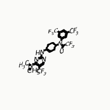 CN(C)c1nc(NC2CCC(N(C(=O)C(F)(F)F)c3cc(C(F)(F)F)cc(C(F)(F)F)c3)CC2)ncc1C(F)(F)F